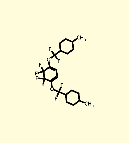 CC1CCC(C(F)(F)OC2=CC=C(OC(F)(F)C3CCC(C)CC3)C(F)(F)C2(F)F)CC1